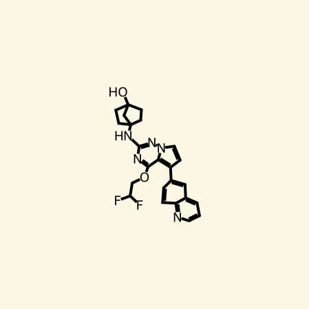 OC12CCC(Nc3nc(OCC(F)F)c4c(-c5ccc6ncccc6c5)ccn4n3)(CC1)C2